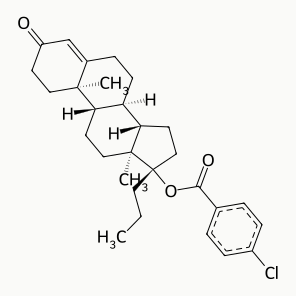 CCC[C@]1(OC(=O)c2ccc(Cl)cc2)CC[C@H]2[C@@H]3CCC4=CC(=O)CC[C@]4(C)[C@H]3CC[C@@]21C